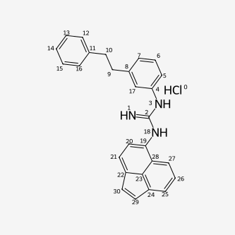 Cl.N=C(Nc1cccc(CCc2ccccc2)c1)Nc1ccc2c3c(cccc13)C=C2